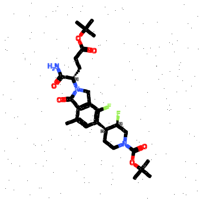 Cc1cc([C@@H]2CCN(C(=O)OC(C)(C)C)C[C@@H]2F)c(F)c2c1C(=O)N([C@@H](CCC(=O)OC(C)(C)C)C(N)=O)C2